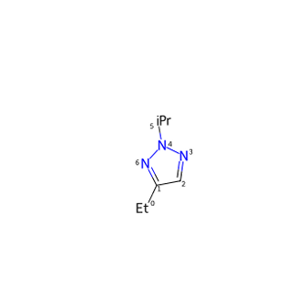 [CH2]Cc1cnn(C(C)C)n1